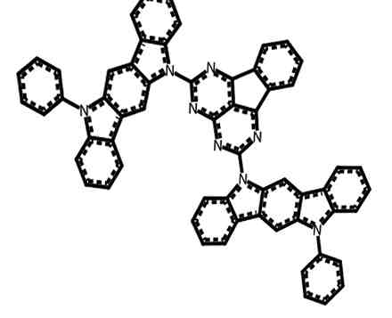 c1ccc(-n2c3ccccc3c3cc4c(cc32)c2ccccc2n4-c2nc3c4c(nc(-n5c6ccccc6c6cc7c(cc65)c5ccccc5n7-c5ccccc5)nc4n2)-c2ccccc2-3)cc1